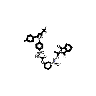 Cc1ccc(-c2cc(C(F)(F)F)nn2-c2ccc(S(=O)(=O)NC(=O)OC3CCCN(/[N+]([O-])=N/OC(C)N4C(=O)c5ccccc5C4=O)C3)cc2)cc1